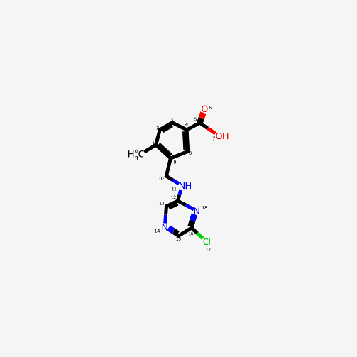 Cc1ccc(C(=O)O)cc1CNc1cncc(Cl)n1